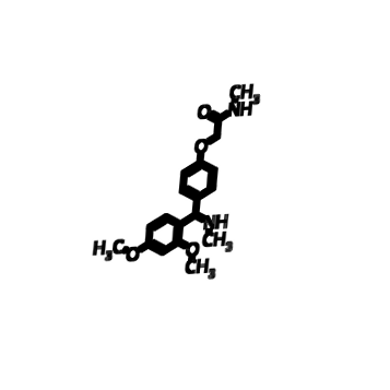 CNC(=O)COc1ccc(C(NC)c2ccc(OC)cc2OC)cc1